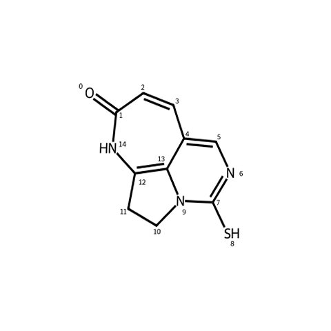 O=C1C=CC2=CN=C(S)N3CCC(=C23)N1